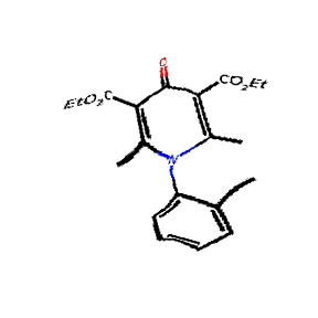 CCOC(=O)c1c(C)n(-c2ccccc2C)c(C)c(C(=O)OCC)c1=O